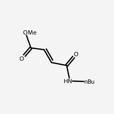 CCCCNC(=O)C=CC(=O)OC